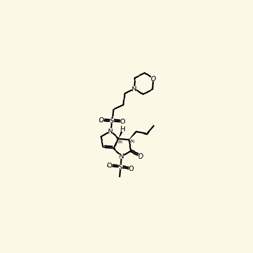 CCC[C@H]1C(=O)N(S(C)(=O)=O)C2=CCN(S(=O)(=O)CCCN3CCOCC3)[C@@H]21